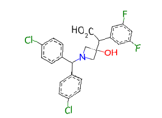 O=C(O)C(c1cc(F)cc(F)c1)C1(O)CN(C(c2ccc(Cl)cc2)c2ccc(Cl)cc2)C1